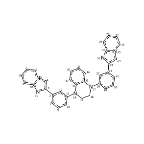 c1cc(-c2cn3ccccc3n2)cc(N2CCN(c3cccc(-c4cn5ccccc5n4)c3)c3ccccc32)c1